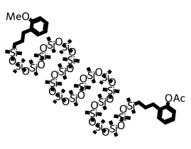 COc1ccccc1CCC[Si](C)(C)O[Si](C)(C)O[Si](C)(C)O[Si](C)(C)O[Si](C)(C)O[Si](C)(C)O[Si](C)(C)O[Si](C)(C)O[Si](C)(C)O[Si](C)(C)O[Si](C)(C)O[Si](C)(C)O[Si](C)(C)O[Si](C)(C)O[Si](C)(C)O[Si](C)(C)O[Si](C)(C)O[Si](C)(C)O[Si](C)(C)O[Si](C)(C)O[Si](C)(C)CCCc1ccccc1OC(C)=O